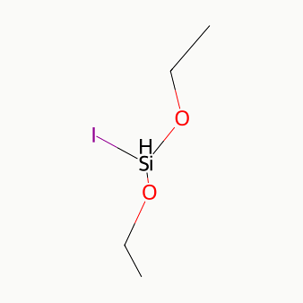 CCO[SiH](I)OCC